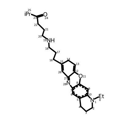 CCN1CCCc2cc3c(cc21)OC1=CCC(CCCNCCCC(=O)C(C)C)=CC1=N3